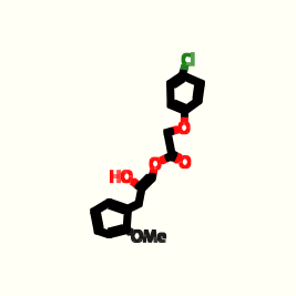 COc1ccccc1C/C(O)=C/OC(=O)COc1ccc(Cl)cc1